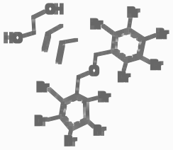 Brc1c(Br)c(Br)c(COCc2c(Br)c(Br)c(Br)c(Br)c2Br)c(Br)c1Br.C=CC.C=CC.OCCO